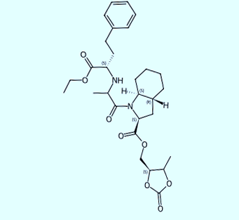 CCOC(=O)[C@H](CCc1ccccc1)NC(C)C(=O)N1[C@H](C(=O)OC[C@@H]2OC(=O)OC2C)C[C@H]2CCCC[C@@H]21